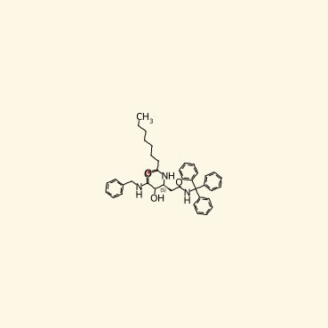 CCCCCCCC(=O)N[C@@H](CC(=O)NC(c1ccccc1)(c1ccccc1)c1ccccc1)C(O)C(=O)NCc1ccccc1